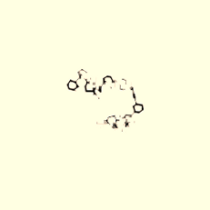 O=C1CCC(N2CC(c3cccc(C#CCN4CCN(c5cccc(-c6cnc7ccc(N8CCCC8c8cccc(F)c8)nn67)n5)CC4)c3)OC2=O)C(=O)N1